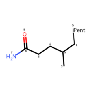 CCCC(C)CC(C)CCC(N)=O